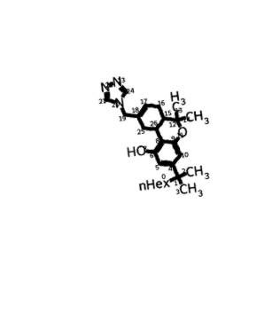 CCCCCCC(C)(C)c1cc(O)c2c(c1)OC(C)(C)C1CC=C(Cn3cnnc3)CC21